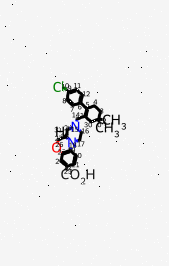 CC1(C)CCC(c2ccc(Cl)cc2)=C(CN2CCN3c4ccc(C(=O)O)cc4OC[C@H]3C2)C1